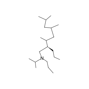 CCC[C@@H](CN(CCC)C(C)C)C(C)CC(C)CC(C)C